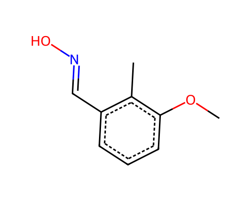 COc1cccc(/C=N/O)c1C